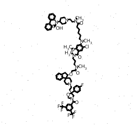 COc1cc(N(C)CCCCCC(=O)N(C)CCN2CCC(N(C(=O)O)c3ccccc3-c3ccccc3)CC2)c(Cl)cc1C(=O)N(C)CCCN(C)C(=O)CO[C@H]1Cc2ccccc2C12CCN(CC[C@@]1(c3ccc(F)cc3)CN(C(=O)c3cc(C(F)(F)F)cc(C(F)(F)F)c3)CO1)CC2